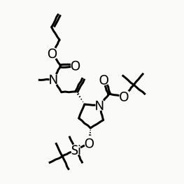 C=CCOC(=O)N(C)CC(=C)[C@H]1C[C@@H](O[Si](C)(C)C(C)(C)C)CN1C(=O)OC(C)(C)C